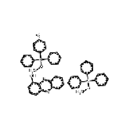 Oc1cccc2nc3ccccc3nc12.[Al].[SiH3]O[Si](c1ccccc1)(c1ccccc1)c1ccccc1.[SiH3]O[Si](c1ccccc1)(c1ccccc1)c1ccccc1